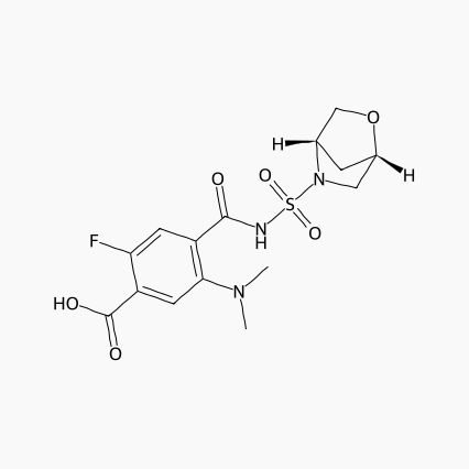 CN(C)c1cc(C(=O)O)c(F)cc1C(=O)NS(=O)(=O)N1C[C@@H]2C[C@H]1CO2